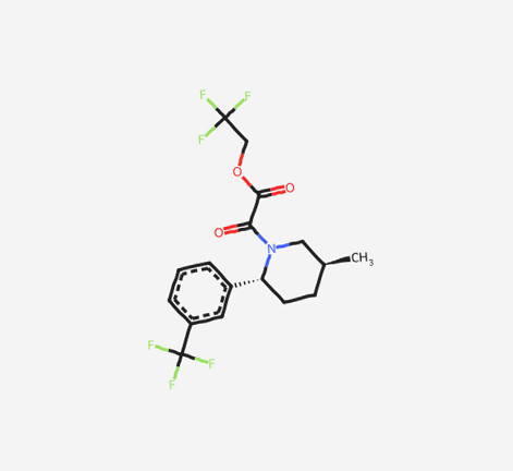 C[C@H]1CC[C@H](c2cccc(C(F)(F)F)c2)N(C(=O)C(=O)OCC(F)(F)F)C1